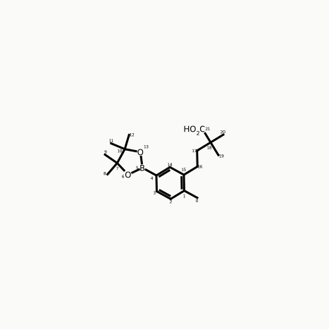 Cc1ccc(B2OC(C)(C)C(C)(C)O2)cc1CCC(C)(C)C(=O)O